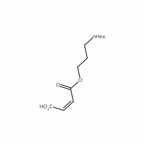 CCCCCCCCCOC(=O)/C=C\C(=O)O